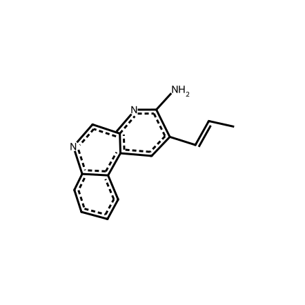 C/C=C/c1cc2c(cnc3ccccc32)nc1N